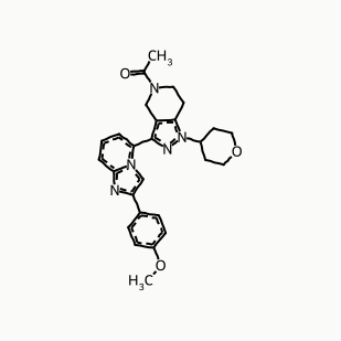 COc1ccc(-c2cn3c(-c4nn(C5CCOCC5)c5c4CN(C(C)=O)CC5)cccc3n2)cc1